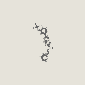 FC(F)(F)Oc1cccc(-c2cn3nc(NCCc4ccccn4)sc3n2)c1